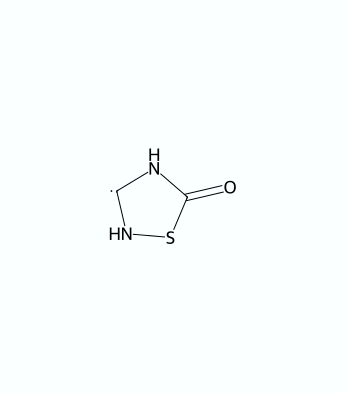 O=C1N[CH]NS1